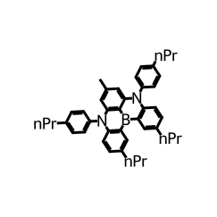 CCCc1ccc(N2c3ccc(CCC)cc3B3c4cc(CCC)ccc4N(c4ccc(CCC)cc4)c4cc(C)cc2c43)cc1